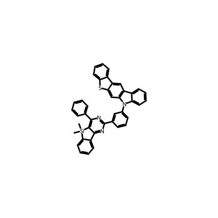 C[Si]1(C)c2ccccc2-c2nc(-c3cccc(-n4c5ccccc5c5cc6c(cc54)sc4ccccc46)c3)nc(-c3ccccc3)c21